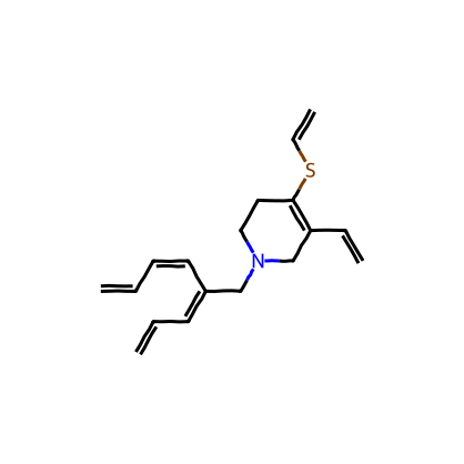 C=C/C=C\C(=C/C=C)CN1CCC(SC=C)=C(C=C)C1